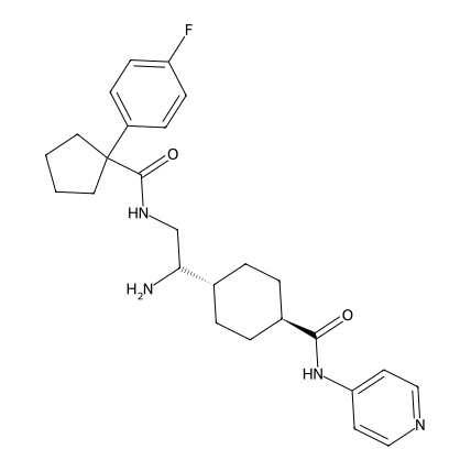 NC(CNC(=O)C1(c2ccc(F)cc2)CCCC1)[C@H]1CC[C@H](C(=O)Nc2ccncc2)CC1